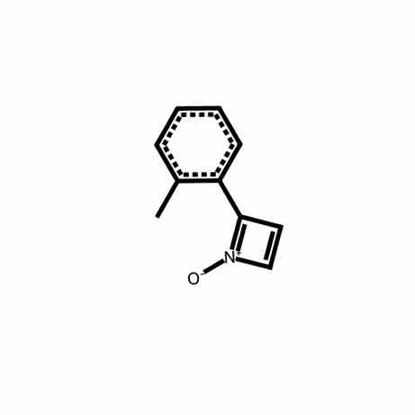 Cc1ccccc1C1=[N+]([O-])C=C1